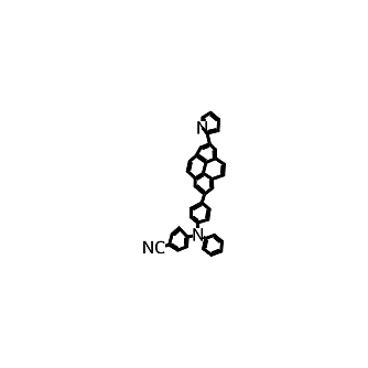 N#Cc1ccc(N(c2ccccc2)c2ccc(-c3cc4ccc5cc(-c6ccccn6)cc6ccc(c3)c4c56)cc2)cc1